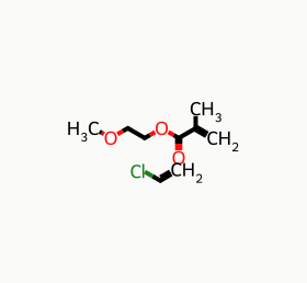 C=C(C)C(=O)OCCOC.C=CCl